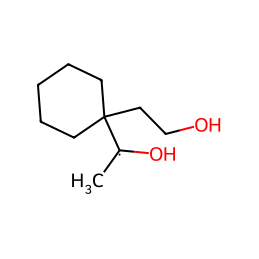 C[C](O)C1(CCO)CCCCC1